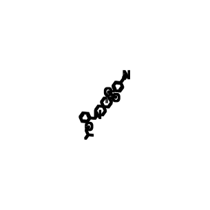 CC(C)COc1ccccc1CN1CCC2(CC1)CCN(S(=O)(=O)c1ccc(C#N)cc1)CC2